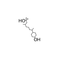 CC(CCCC(C)C1CCC(O)CC1)CC1(O)CC1